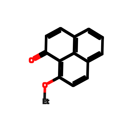 CCOc1ccc2cccc3c2c1C(=O)C=C3